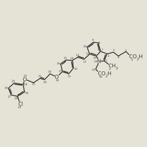 Cc1c(CCCC(=O)O)c2cccc(C=Cc3ccc(OC/C=C/COc4cccc(Cl)c4)cc3)c2n1CC(=O)O